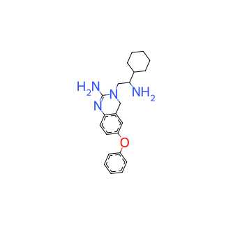 NC1=Nc2ccc(Oc3ccccc3)cc2CN1CC(N)C1CCCCC1